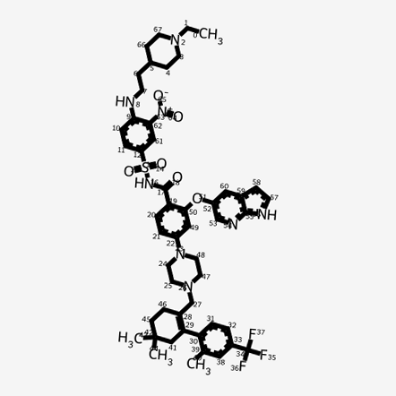 CCN1CCC(CCNc2ccc(S(=O)(=O)NC(=O)c3ccc(N4CCN(CC5=C(c6ccc(C(F)(F)F)cc6C)CC(C)(C)CC5)CC4)cc3Oc3cnc4[nH]ccc4c3)cc2[N+](=O)[O-])CC1